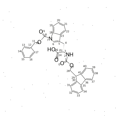 O=C(N[C@@H](Cc1cn(C(=O)OCc2ccccc2)c2ccccc12)C(=O)O)OCC1c2ccccc2-c2ccccc21